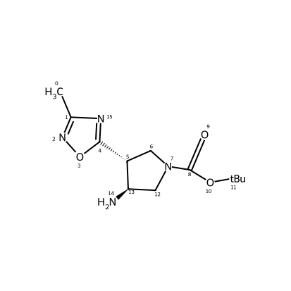 Cc1noc([C@@H]2CN(C(=O)OC(C)(C)C)C[C@H]2N)n1